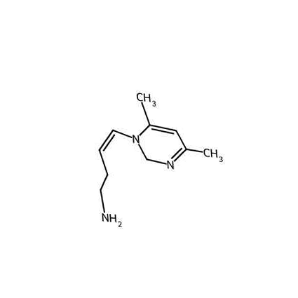 CC1=CC(C)=NCN1/C=C\CCN